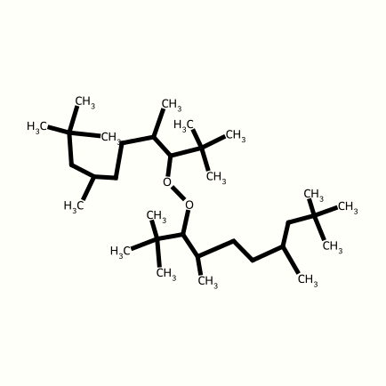 CC(CCC(C)C(OOC(C(C)CCC(C)CC(C)(C)C)C(C)(C)C)C(C)(C)C)CC(C)(C)C